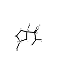 CC(C)C(=O)[C@]1(C)CCN(C)C1